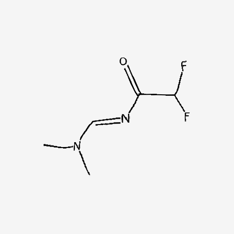 CN(C)/C=N/C(=O)C(F)F